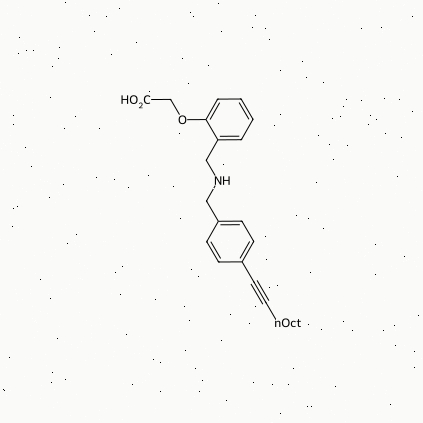 CCCCCCCCC#Cc1ccc(CNCc2ccccc2OCC(=O)O)cc1